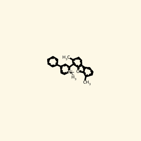 Cc1ccc2c(oc3c(C)cccc32)c1-c1cc(-c2ccccc2)cc[n+]1C